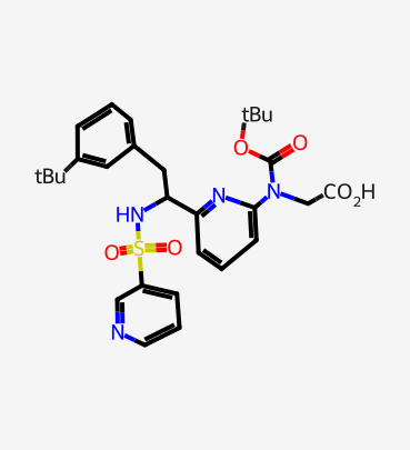 CC(C)(C)OC(=O)N(CC(=O)O)c1cccc(C(Cc2cccc(C(C)(C)C)c2)NS(=O)(=O)c2cccnc2)n1